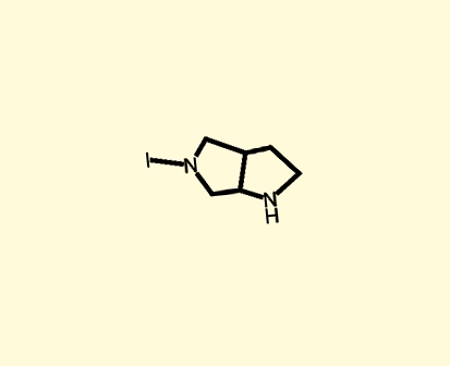 IN1CC2CCNC2C1